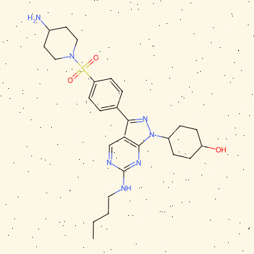 CCCCNc1ncc2c(-c3ccc(S(=O)(=O)N4CCC(N)CC4)cc3)nn(C3CCC(O)CC3)c2n1